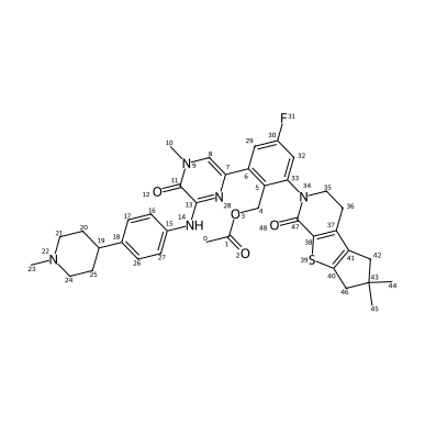 CC(=O)OCc1c(-c2cn(C)c(=O)c(Nc3ccc(C4CCN(C)CC4)cc3)n2)cc(F)cc1N1CCc2c(sc3c2CC(C)(C)C3)C1=O